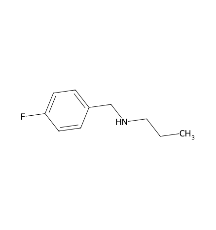 CCCNCc1ccc(F)cc1